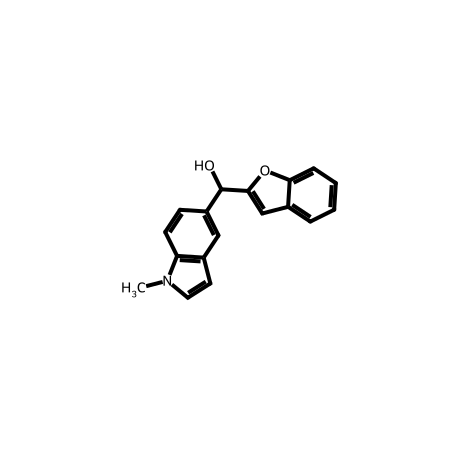 Cn1ccc2cc(C(O)c3cc4ccccc4o3)ccc21